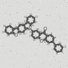 O=c1c2ccc(-c3ccccc3)cc2oc2ccc(-n3c4ccccc4c4cc5c(cc43)oc3ccccc35)cc12